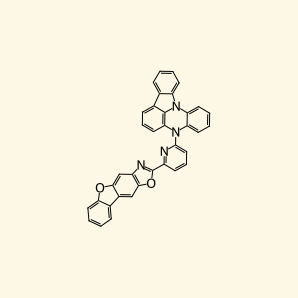 c1cc(-c2nc3cc4oc5ccccc5c4cc3o2)nc(N2c3ccccc3-n3c4ccccc4c4cccc2c43)c1